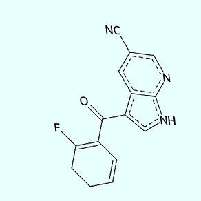 N#Cc1cnc2[nH]cc(C(=O)C3=C(F)CCC=C3)c2c1